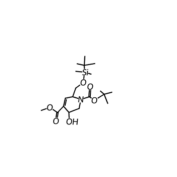 COC(=O)C1=CC(CO[Si](C)(C)C(C)(C)C)N(C(=O)OC(C)(C)C)CC1O